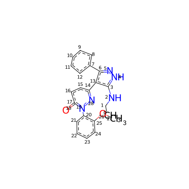 CCNc1[nH]nc(-c2ccccc2)c1-c1ccc(=O)n(-c2ccccc2OC)n1